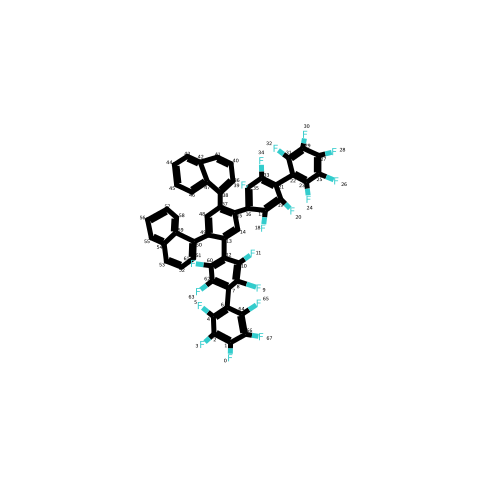 Fc1c(F)c(F)c(-c2c(F)c(F)c(-c3cc(-c4c(F)c(F)c(-c5c(F)c(F)c(F)c(F)c5F)c(F)c4F)c(-c4cccc5ccccc45)cc3-c3cccc4ccccc34)c(F)c2F)c(F)c1F